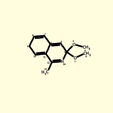 COC1(OC)C=C2C=CCC=C2C(C)=N1